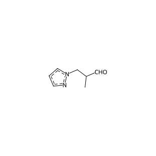 CC(C=O)Cn1cccn1